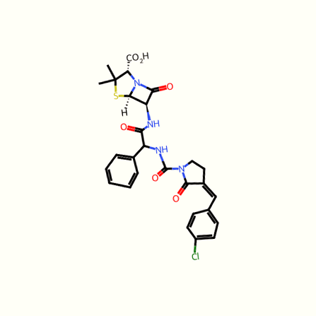 CC1(C)S[C@@H]2[C@H](NC(=O)C(NC(=O)N3CCC(=Cc4ccc(Cl)cc4)C3=O)c3ccccc3)C(=O)N2[C@H]1C(=O)O